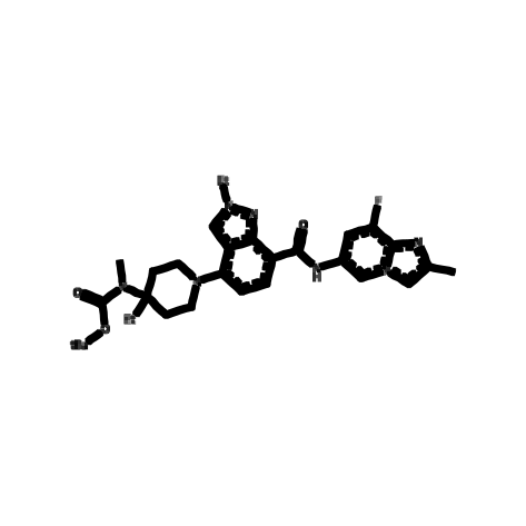 CCn1cc2c(N3CCC(CC)(N(C)C(=O)OC(C)(C)C)CC3)ccc(C(=O)Nc3cc(F)c4nc(C)cn4c3)c2n1